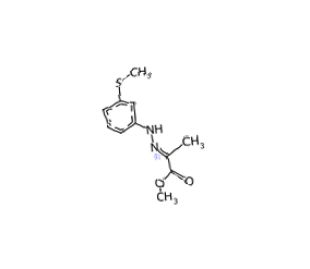 COC(=O)/C(C)=N/Nc1cccc(SC)c1